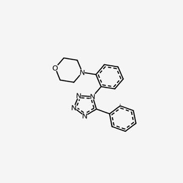 [c]1ccccc1-c1nnnn1-c1ccccc1N1CCOCC1